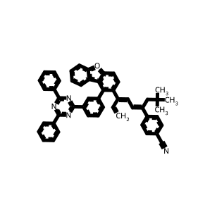 C=C/C(=C\C=C(/CC(C)(C)C)c1ccc(C#N)cc1)c1ccc2oc3ccccc3c2c1-c1cccc(-c2nc(-c3ccccc3)nc(-c3ccccc3)n2)c1